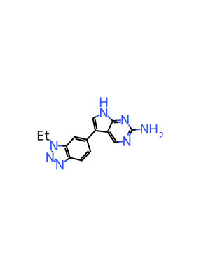 CCn1nnc2ccc(-c3c[nH]c4nc(N)ncc34)cc21